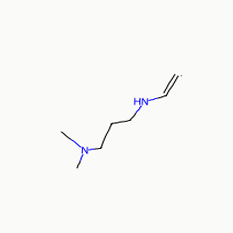 [CH]=CNCCCN(C)C